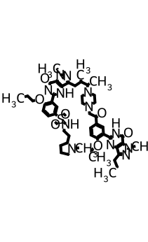 CCCOc1ccc(S(=O)(=O)NCCC2CCCN2C)cc1-c1nc(=O)c2c([nH]1)c(CC(C)C(C)N1CCN(CC(=O)c3ccc(OCC)c(-c4nc5c(CCC)nn(C)c5c(=O)[nH]4)c3)CC1)nn2C